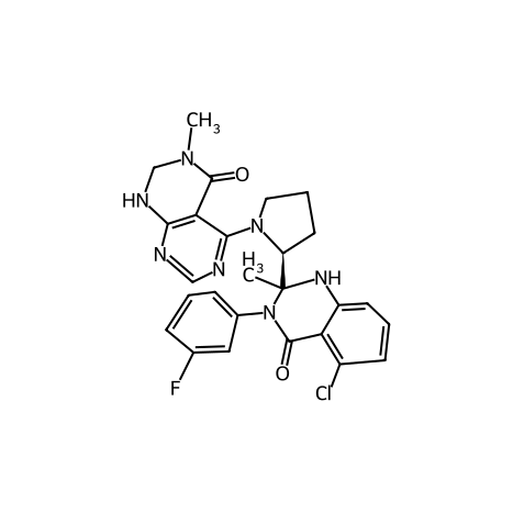 CN1CNc2ncnc(N3CCC[C@H]3C3(C)Nc4cccc(Cl)c4C(=O)N3c3cccc(F)c3)c2C1=O